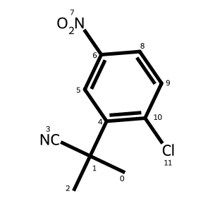 CC(C)(C#N)c1cc([N+](=O)[O-])ccc1Cl